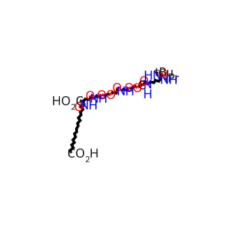 CC(C)NC(CCCCNC(=O)CCOCCOCCNC(=O)CCOCCOCCNC(=O)CCC(NC(=O)CCCCCCCCCCCCCCCCC(=O)O)C(=O)O)C(=O)NC(C)(C)C